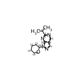 CC(C)c1ncc2cnn(C3CCCCO3)c2n1